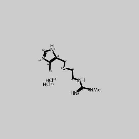 CNC(=N)NCCSCc1[nH]cnc1C.Cl.Cl